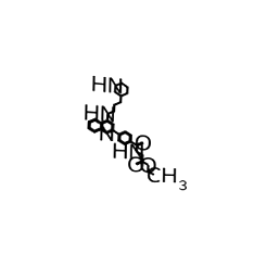 CCOC(=O)CNC(=O)c1ccc(-c2cc(NCCCC3CCCNC3)c3ccccc3n2)cc1